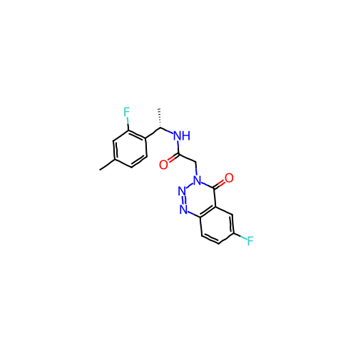 Cc1ccc([C@H](C)NC(=O)Cn2nnc3ccc(F)cc3c2=O)c(F)c1